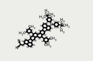 Cc1cc(C)cc(-c2cc3c4cc5c(cc4c(-c4cc(C)cc(C)c4)cc3c3cc4c(cc23)-c2ccc(C=C(C#N)C#N)c3cccc-4c23)-c2ccc(N(c3ccc(C(C)(C)C)cc3)c3ccc(C(C)(C)C)cc3)c3cccc-5c23)c1